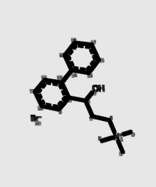 C[N+](C)(C)CCC(O)c1ccccc1-c1ccccc1.[Br-]